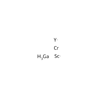 [Cr].[GaH3].[Sc].[Y]